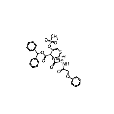 CS(=O)(=O)OC1=CS[C@H]2[C@H](NC(=O)COc3ccccc3)C(=O)N2C1C(=O)OC(c1ccccc1)c1ccccc1